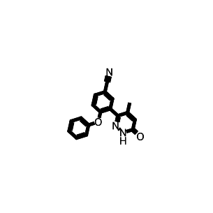 Cc1cc(=O)[nH]nc1-c1cc(C#N)ccc1Oc1ccccc1